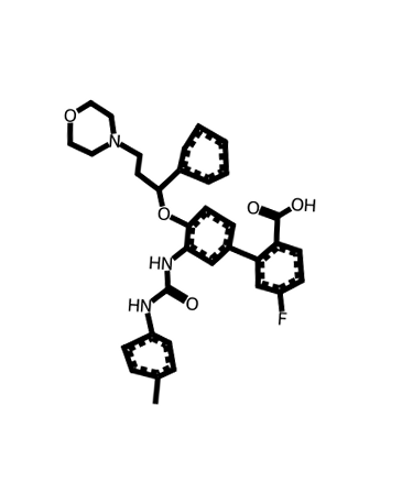 Cc1ccc(NC(=O)Nc2cc(-c3cc(F)ccc3C(=O)O)ccc2OC(CCN2CCOCC2)c2ccccc2)cc1